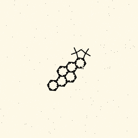 CC1(C)CC(C)(C)c2c1cnc1c2cc2ccc3c4ccccc4cc4ccc1c2c43